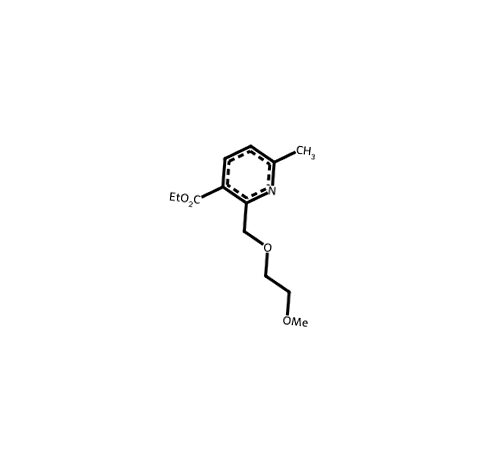 CCOC(=O)c1ccc(C)nc1COCCOC